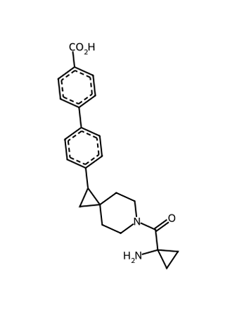 NC1(C(=O)N2CCC3(CC2)CC3c2ccc(-c3ccc(C(=O)O)cc3)cc2)CC1